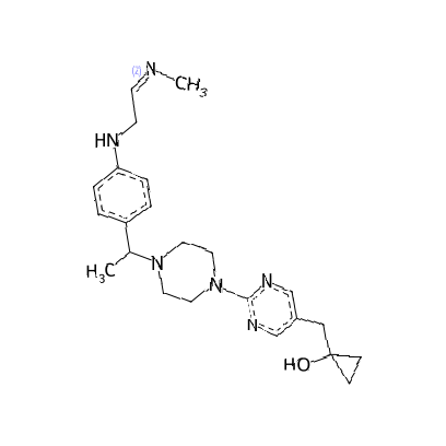 C/N=C\CNc1ccc(C(C)N2CCN(c3ncc(CC4(O)CC4)cn3)CC2)cc1